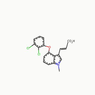 Cn1cc(C=CC(=O)O)c2c(Oc3cccc(Cl)c3Cl)cccc21